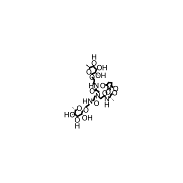 C[C@H](NC(=O)CN(CC(=O)NCCO[C@@H]1O[C@@H](C)[C@@H](O)[C@@H](O)[C@@H]1O)CC(=O)NCCO[C@@H]1O[C@@H](C)[C@@H](O)[C@@H](O)[C@@H]1O)C(=O)ON1C(=O)CCC1=O